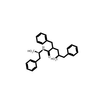 O=C(O)C(Cc1ccccc1)CC(Cc1ccccc1)C(=O)N[C@@H](Cc1ccccc1)C(=O)O